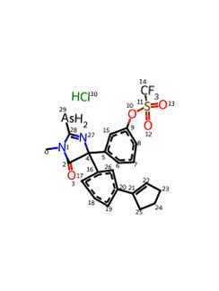 CN1C(=O)C(c2cccc(OS(=O)(=O)C(F)(F)F)c2)(c2cccc(C3=CCCC3)c2)N=C1[AsH2].Cl